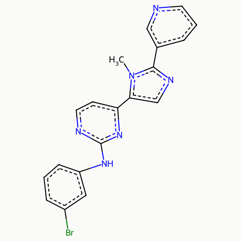 Cn1c(-c2ccnc(Nc3cccc(Br)c3)n2)cnc1-c1cccnc1